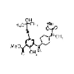 CCN(c1cc(C#CC(C)(C)O)cc(C(=O)OC)c1C)C1CCC(N(C)C(=O)OC(C)(C)C)CC1